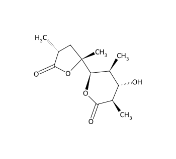 C[C@H]1[C@H](O)[C@@H](C)C(=O)O[C@H]1[C@@]1(C)C[C@@H](C)C(=O)O1